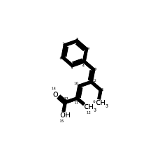 CCC(=Cc1ccccc1)C=C(C)C(=O)O